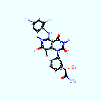 Cc1c(=O)n(C)c(Nc2ccc(I)cc2F)c2c(=O)n(C)c(=O)n(-c3cccc([C@H](O)C(N)=O)c3)c12